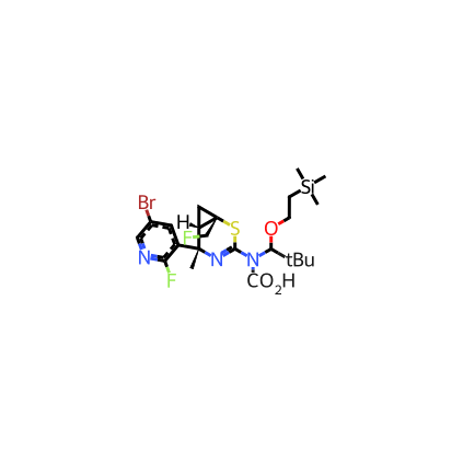 CC(C)(C)C(OCC[Si](C)(C)C)N(C(=O)O)C1=N[C@](C)(c2cc(Br)cnc2F)[C@@H]2C[C@]2(CF)S1